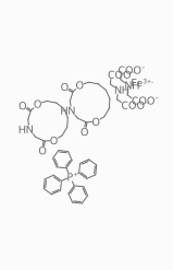 O=C([O-])CNCC(=O)[O-].O=C([O-])CNCC(=O)[O-].O=C1CNCC(=O)OCCCCCCO1.O=C1CNCC(=O)OCCCCCCO1.[Fe+3].c1ccc([P+](c2ccccc2)(c2ccccc2)c2ccccc2)cc1